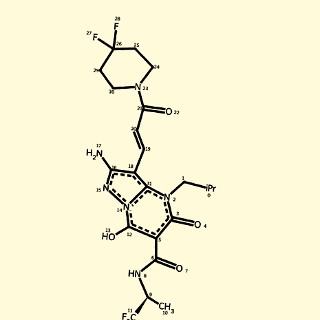 CC(C)Cn1c(=O)c(C(=O)N[C@@H](C)C(F)(F)F)c(O)n2nc(N)c(/C=C/C(=O)N3CCC(F)(F)CC3)c12